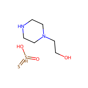 O=[SH](O)=S.OCCN1CCNCC1